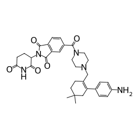 CC1(C)CCC(CN2CCN(C(=O)c3ccc4c(c3)C(=O)N(C3CCC(=O)NC3=O)C4=O)CC2)=C(c2ccc(N)cc2)C1